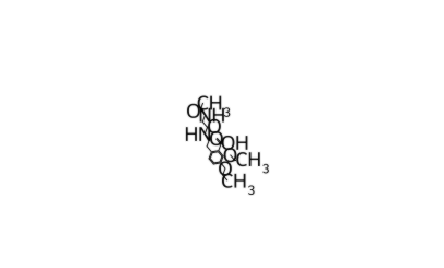 CCOc1ccc(CCNC(=O)CNC(C)=O)c(C(=O)O)c1OCC